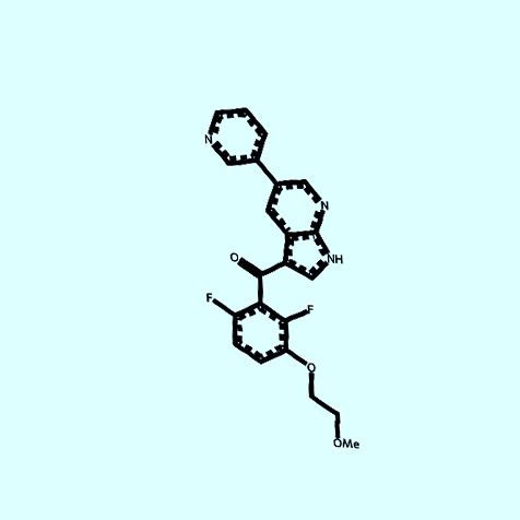 COCCOc1ccc(F)c(C(=O)c2c[nH]c3ncc(-c4cccnc4)cc23)c1F